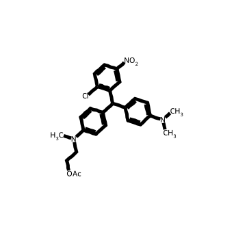 CC(=O)OCCN(C)c1ccc(C(c2ccc(N(C)C)cc2)c2cc([N+](=O)[O-])ccc2Cl)cc1